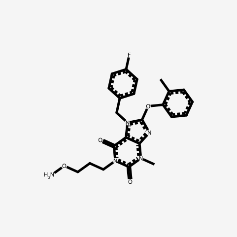 Cc1ccccc1Oc1nc2c(c(=O)n(CCCON)c(=O)n2C)n1Cc1ccc(F)cc1